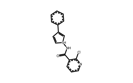 O=C(N[SH]1C=CC(c2ccccc2)=C1)c1cccnc1Cl